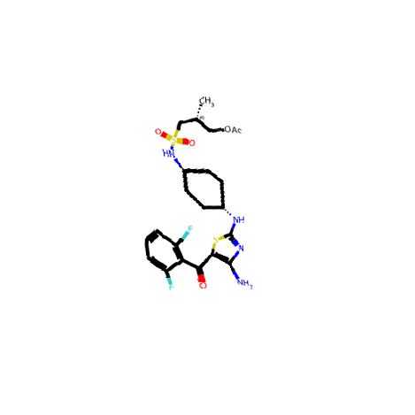 CC(=O)OC[C@@H](C)CS(=O)(=O)N[C@H]1CC[C@H](Nc2nc(N)c(C(=O)c3c(F)cccc3F)s2)CC1